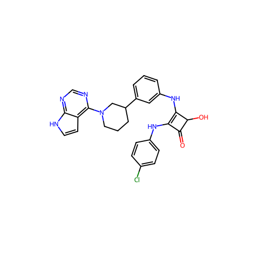 O=C1C(Nc2ccc(Cl)cc2)=C(Nc2cccc(C3CCCN(c4ncnc5[nH]ccc45)C3)c2)C1O